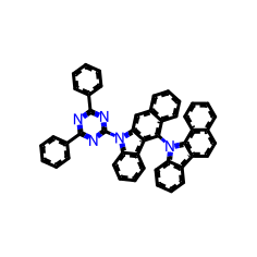 c1ccc(-c2nc(-c3ccccc3)nc(-n3c4ccccc4c4c(-n5c6ccccc6c6ccc7ccccc7c65)c5ccccc5cc43)n2)cc1